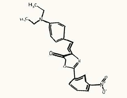 CCN(CC)c1ccc(/C=C2/N=C(c3cccc([N+](=O)[O-])c3)OC2=O)cc1